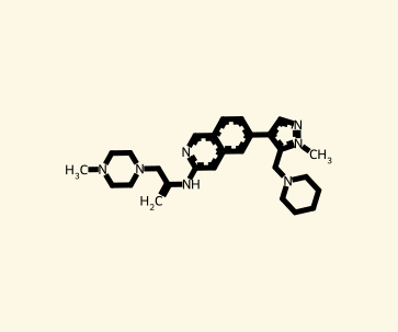 C=C(CN1CCN(C)CC1)Nc1cc2cc(-c3cnn(C)c3CN3CCCCC3)ccc2cn1